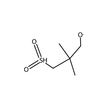 CC(C)(C[O])C[SH](=O)=O